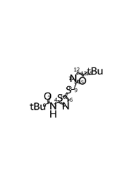 CC(C)(C)C(=O)Nc1ncc(SCc2ncc(C(C)(C)C)o2)s1